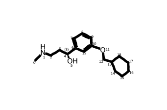 CNCC[C@H](O)c1cccc(OCC2CCCCC2)c1